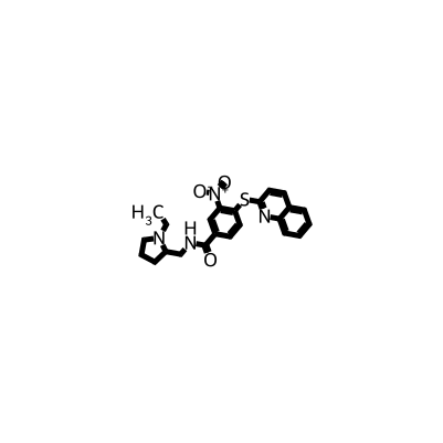 CCN1CCCC1CNC(=O)c1ccc(Sc2ccc3ccccc3n2)c([N+](=O)[O-])c1